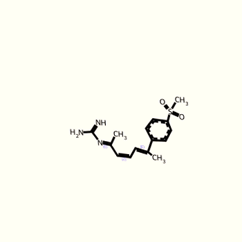 C\C(=C/C=C\C(C)=N\C(=N)N)c1ccc(S(C)(=O)=O)cc1